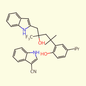 CC(C)c1ccc(O)c(C(C)(C)CC(O)(Cc2cc3ccccc3[nH]2)C(F)(F)F)c1.N#Cc1c[nH]c2ccccc12